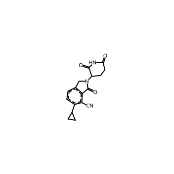 N#Cc1c(C2CC2)ccc2c1C(=O)N(C1CCC(=O)NC1=O)C2